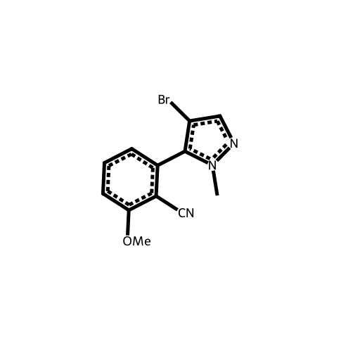 COc1cccc(-c2c(Br)cnn2C)c1C#N